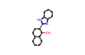 Oc1c(-c2nc3ccccc3[nH]2)ccc2ccccc12